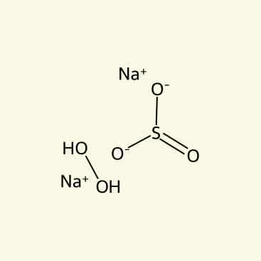 O=S([O-])[O-].OO.[Na+].[Na+]